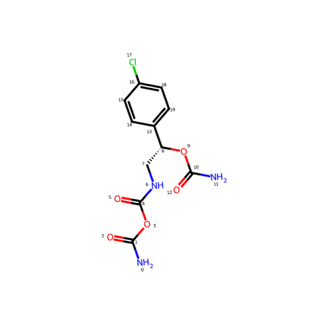 NC(=O)OC(=O)NC[C@@H](OC(N)=O)c1ccc(Cl)cc1